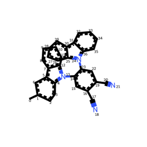 Cc1ccc2c(c1)c1ccccc1n2-c1cc(C#N)c(C#N)cc1-n1c2ccccc2c2ccccc21